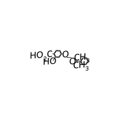 CC(C)(OCCOc1ccc(C(=O)O)c(O)c1)c1ccccc1